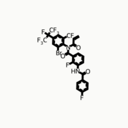 C=CC(=O)N(C(=O)c1cccc(NC(=O)c2ccc(F)cc2)c1F)c1c(Br)cc(C(F)(C(F)(F)F)C(F)(F)F)cc1C(F)(F)F